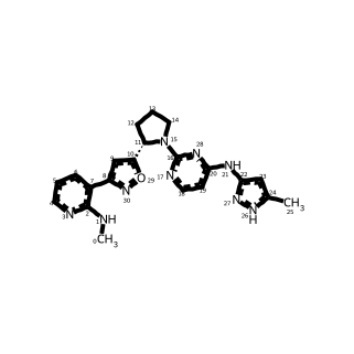 CNc1ncccc1-c1cc([C@@H]2CCCN2c2nccc(Nc3cc(C)[nH]n3)n2)on1